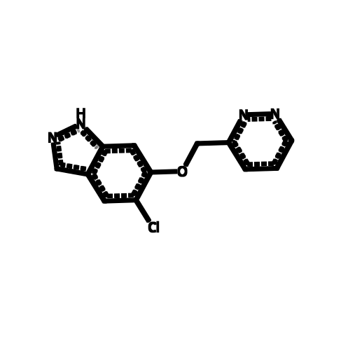 Clc1cc2cn[nH]c2cc1OCc1cccnn1